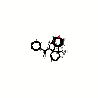 O=C(c1ccccc1)C(O)C1(c2ccccc2)C=CC=CC1(O)c1ccccc1